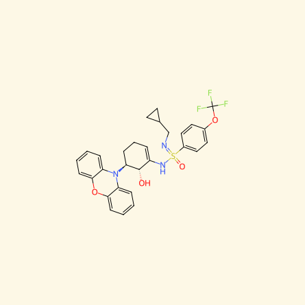 O=S(=NCC1CC1)(NC1=CCC[C@H](N2c3ccccc3Oc3ccccc32)[C@H]1O)c1ccc(OC(F)(F)F)cc1